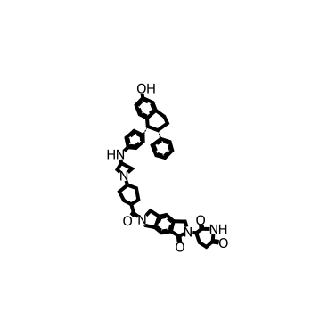 O=C1CCC(N2Cc3cc4c(cc3C2=O)CN(C(=O)C2CCC(N3CC(Nc5ccc([C@@H]6c7ccc(O)cc7CC[C@@H]6c6ccccc6)cc5)C3)CC2)C4)C(=O)N1